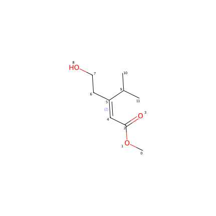 COC(=O)/C=C(/CCO)C(C)C